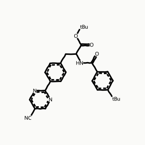 CC(C)(C)OC(=O)C(Cc1ccc(-c2ncc(C#N)cn2)cc1)NC(=O)c1ccc(C(C)(C)C)cc1